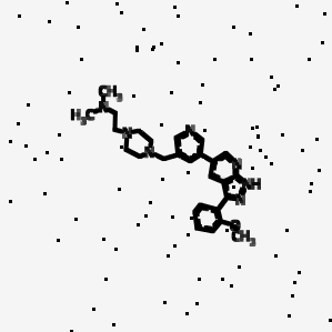 COc1ccccc1-c1n[nH]c2ncc(-c3cncc(CN4CCN(CCN(C)C)CC4)c3)cc12